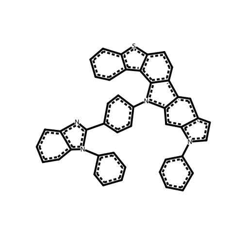 c1ccc(-n2ccc3cc4c5ccc6sc7ccccc7c6c5n(-c5ccc(-c6nc7ccccc7n6-c6ccccc6)cc5)c4cc32)cc1